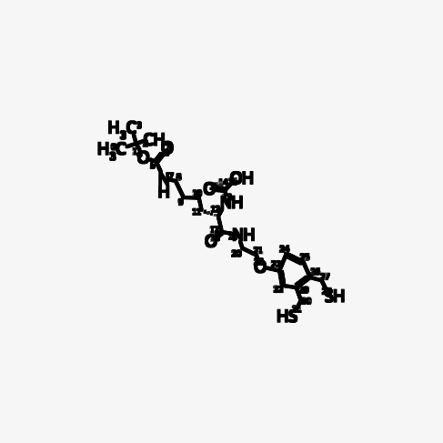 CC(C)(C)OC(=O)NCCCC[C@H](NC(=O)O)C(=O)NCCOc1ccc(CS)c(CS)c1